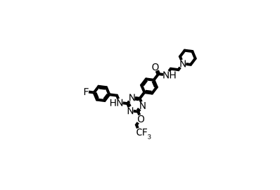 O=C(NCCN1CCCCC1)c1ccc(-c2nc(NCc3ccc(F)cc3)nc(OCC(F)(F)F)n2)cc1